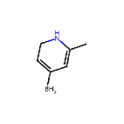 BC1=CCNC(C)=C1